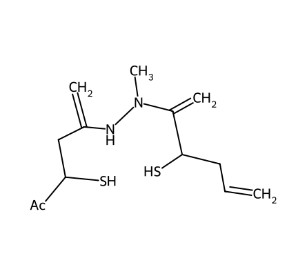 C=CCC(S)C(=C)N(C)NC(=C)CC(S)C(C)=O